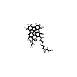 CCCN(C)CCOCCCc1ccc(C2(c3ccc(C)c(C(=O)OCC)c3)c3cc(C)ccc3-c3ccc(C)cc32)cc1C